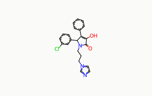 O=C1C(O)=C(c2ccccc2)C(c2cccc(Cl)c2)N1CCCn1ccnc1